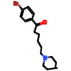 O=C(CCCCCN1CC[CH]CC1)c1ccc(Br)cc1